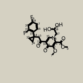 COC(=O)c1c(OC)c(=O)c(C(=O)CC2(c3ccc(F)cc3F)CC2)cn1CC(O)O